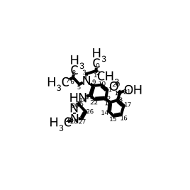 CC(C)CN(CC(C)C)c1ccc(-c2ccccc2C(=O)O)cc1Nc1ccn(C)n1